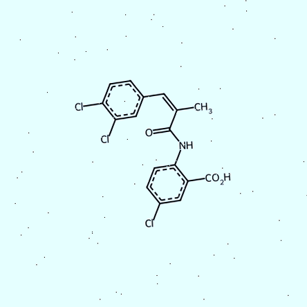 CC(=Cc1ccc(Cl)c(Cl)c1)C(=O)Nc1ccc(Cl)cc1C(=O)O